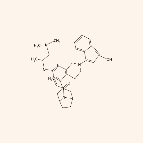 C=CC(=O)N1C2CCC1CN(c1nc(OC(C)CN(C)C)nc3c1CCN(c1cc(O)cc4ccccc14)C3)C2